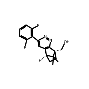 CC1(C)[C@H]2CC[C@]1(CO)c1nnc(-c3c(F)cccc3F)cc12